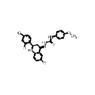 COc1ccc(NC(=O)NN=C2CC(c3ccc(Cl)cc3Cl)Nc3ccc(Cl)cc32)cc1